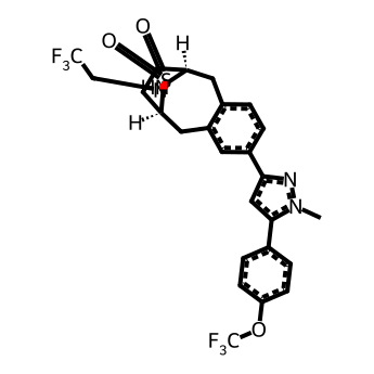 Cn1nc(-c2ccc3c(c2)C[C@H]2CC[C@@H](C3)[C@]23CN(CC(F)(F)F)S(=O)(=O)N3)cc1-c1ccc(OC(F)(F)F)cc1